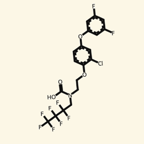 O=C(O)N(CCOc1ccc(Oc2cc(F)cc(F)c2)cc1Cl)CC(F)(F)C(F)(F)C(F)(F)F